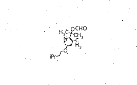 Cc1cc(OCCC(C)C)cnc1C(C)(C)OC=O